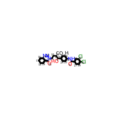 O=C(Nc1ccc(C(O)[C@H](CCn2nnc3ccccc3c2=O)C(=O)O)cc1)c1ccc(Cl)c(Cl)c1